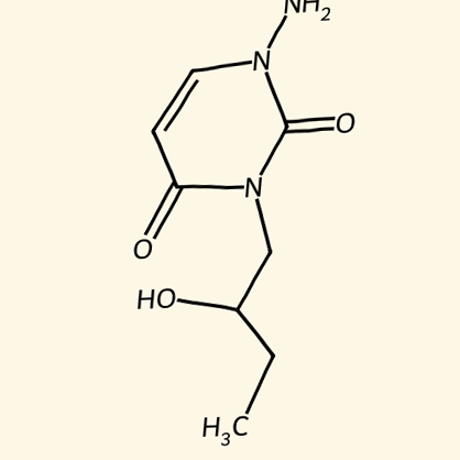 CCC(O)Cn1c(=O)ccn(N)c1=O